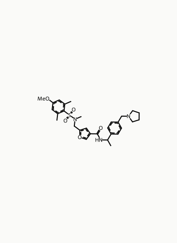 COc1cc(C)c(S(=O)(=O)N(C)Cc2cc(C(=O)NC(C)c3ccc(CN4CCCC4)cc3)co2)c(C)c1